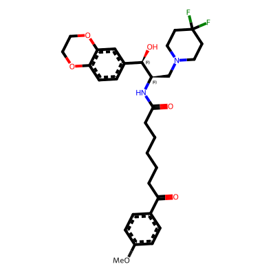 COc1ccc(C(=O)CCCCCC(=O)N[C@H](CN2CCC(F)(F)CC2)[C@H](O)c2ccc3c(c2)OCCO3)cc1